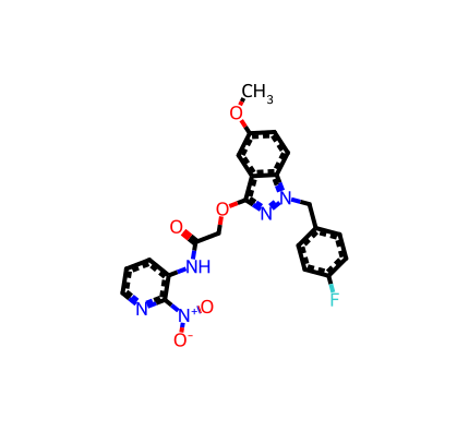 COc1ccc2c(c1)c(OCC(=O)Nc1cccnc1[N+](=O)[O-])nn2Cc1ccc(F)cc1